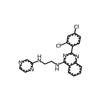 Clc1ccc(-c2nc(NCCNc3cnccn3)c3ccccc3n2)c(Cl)c1